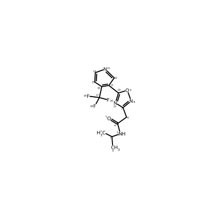 CC(C)NC(=O)Cc1noc(-c2cnccc2C(F)(F)F)n1